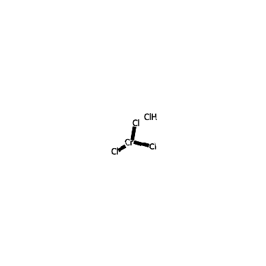 Cl.[Cl][Cr]([Cl])[Cl]